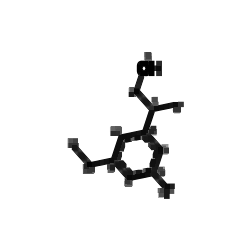 [CH2]C(CO)c1cc(F)cc(CC)c1